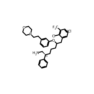 Cl.NC[C@@H](CCCC(Cc1cccc(C(F)(F)F)c1Cl)Oc1cccc(CCN2CCOCC2)c1)c1ccccc1